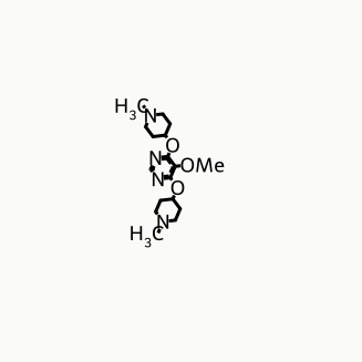 COc1c(OC2CCN(C)CC2)ncnc1OC1CCN(C)CC1